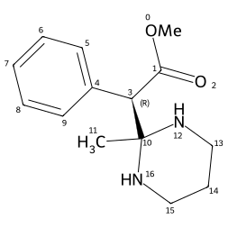 COC(=O)[C@H](c1ccccc1)C1(C)NCCCN1